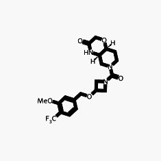 COc1cc(COC2CN(C(=O)N3CC[C@@H]4OCC(=O)N[C@@H]4C3)C2)ccc1C(F)(F)F